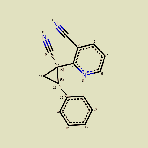 N#Cc1cccnc1[C@]1(C#N)C[C@H]1c1ccccc1